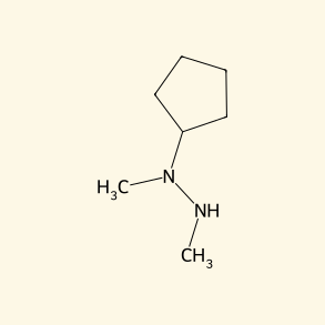 CNN(C)C1CCCC1